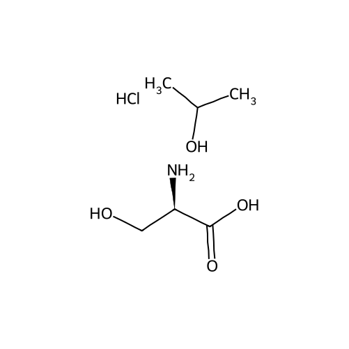 CC(C)O.Cl.N[C@H](CO)C(=O)O